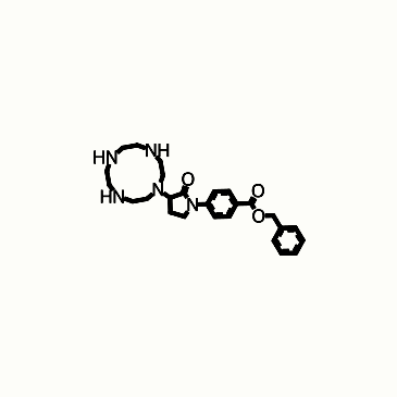 O=C(OCc1ccccc1)c1ccc(N2CCC(N3CCNCCNCCNCC3)C2=O)cc1